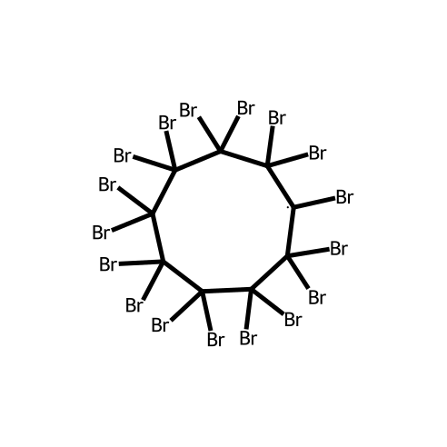 Br[C]1C(Br)(Br)C(Br)(Br)C(Br)(Br)C(Br)(Br)C(Br)(Br)C(Br)(Br)C(Br)(Br)C1(Br)Br